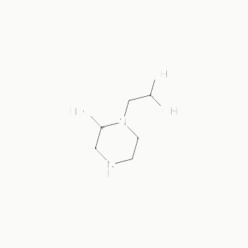 CC(O)CN1CCNCC1C